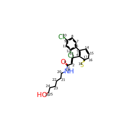 O=C(/C=C/C1=C(c2ccc(Cl)cc2Cl)C=CCC1=S)NCCCCCCO